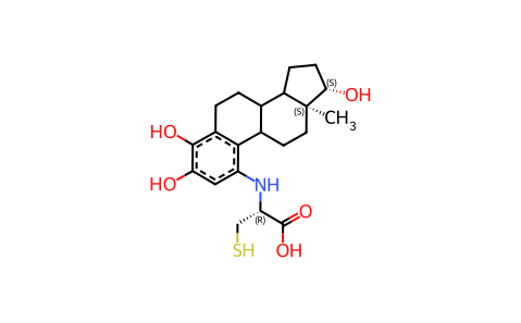 C[C@]12CCC3c4c(N[C@@H](CS)C(=O)O)cc(O)c(O)c4CCC3C1CC[C@@H]2O